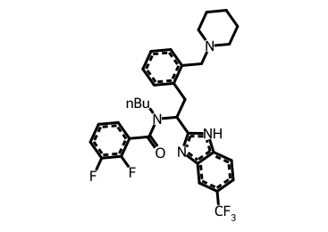 CCCCN(C(=O)c1cccc(F)c1F)C(Cc1ccccc1CN1CCCCC1)c1nc2cc(C(F)(F)F)ccc2[nH]1